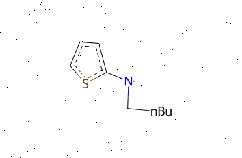 CCCCC[N]c1cccs1